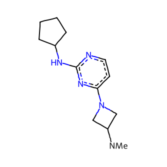 CNC1CN(c2ccnc(NC3CCCC3)n2)C1